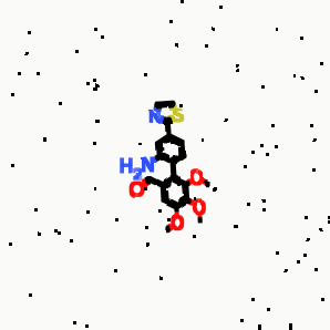 COc1cc(C=O)c(-c2ccc(-c3nccs3)cc2N)c(OC)c1OC